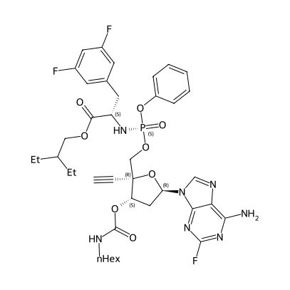 C#C[C@]1(CO[P@@](=O)(N[C@@H](Cc2cc(F)cc(F)c2)C(=O)OCC(CC)CC)Oc2ccccc2)O[C@@H](n2cnc3c(N)nc(F)nc32)C[C@@H]1OC(=O)NCCCCCC